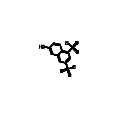 O=S(=O)(Cl)c1cc(S(=O)(=O)Cl)c2ccc(O)cc2c1